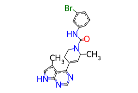 Cc1c[nH]c2ncnc(C3=CC(C)N(C(=O)Nc4cccc(Br)c4)CC3)c12